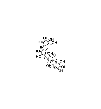 CC1O[C@H](O[C@@H]2C(CO)O[C@H](O[C@@H]3C(CO)O[C@@H](O)C(O)C3O)C(O)C2O)C(O)C(O)[C@@H]1N[C@H]1C=C(CO)[C@@H](O)[C@H](O)[C@H]1O